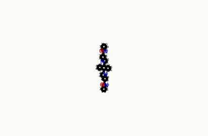 c1ccc2oc(-c3ccc4nc(-c5c6ccccc6c(-c6ccc7cc(-c8nc9ccccc9o8)ccc7n6)c6ccccc56)ccc4c3)nc2c1